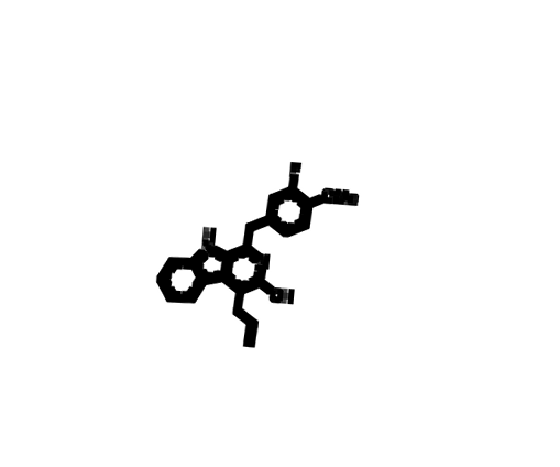 C=CCc1c(O)nc(Cc2ccc(OC)c(F)c2)c2[nH]c3ccccc3c12